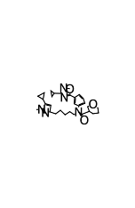 Cn1nc(CCCCCN(C(=O)C2CCCOC2)c2cccc(-c3nc(C4CC4)no3)c2)cc1C1CC1